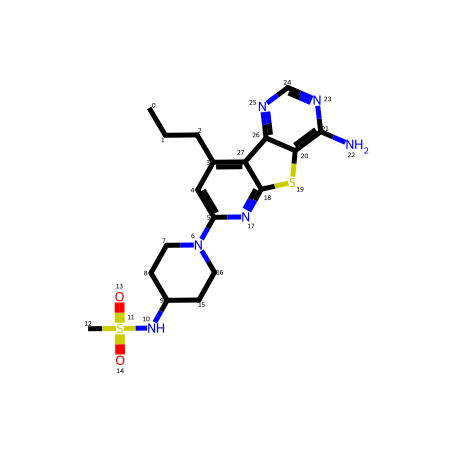 CCCc1cc(N2CCC(NS(C)(=O)=O)CC2)nc2sc3c(N)ncnc3c12